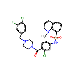 CN1CC=Cc2cccc(S(=O)(=O)Nc3ccc(C(=O)N4CCN(Cc5ccc(Cl)c(F)c5)CC4)c(Cl)c3)c21